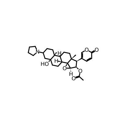 CC(=O)O[C@H]1[C@H]2O[C@]23[C@@H]2CC[C@]4(O)CC(N5CCCC5)CC[C@]4(C)[C@H]2CC[C@]3(C)[C@H]1c1ccc(=O)oc1